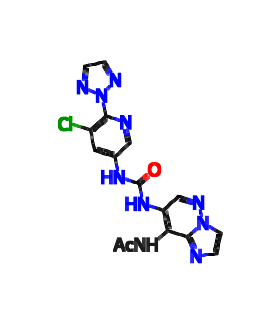 CC(=O)Nc1c(NC(=O)Nc2cnc(-n3nccn3)c(Cl)c2)cnn2ccnc12